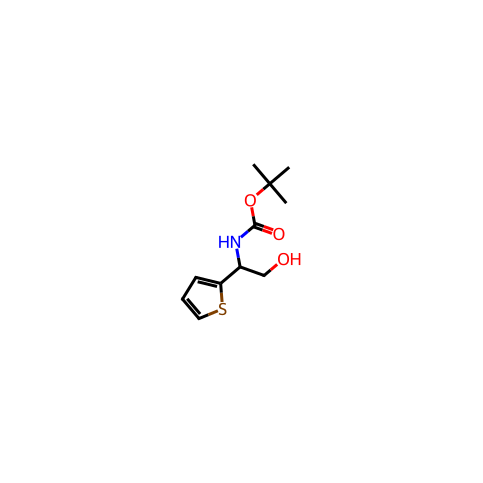 CC(C)(C)OC(=O)NC(CO)c1cccs1